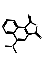 CN(C)c1cc2c(c3ccccc13)C(=O)OC2=O